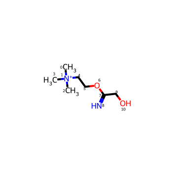 C[N+](C)(C)CCOC(=N)CO